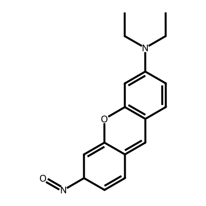 CCN(CC)c1ccc2c(c1)OC1=CC(N=O)C=CC1=C2